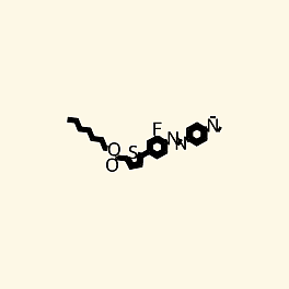 CCCCCCCOC(=O)c1ccc(-c2ccc(/N=N/c3ccc(N(C)C)cc3)c(F)c2)s1